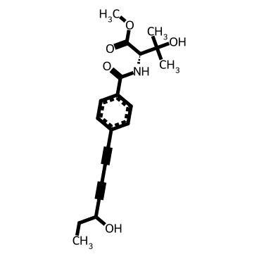 CCC(O)C#CC#Cc1ccc(C(=O)N[C@H](C(=O)OC)C(C)(C)O)cc1